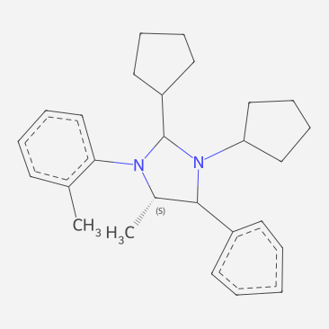 Cc1ccccc1N1C(C2CCCC2)N(C2CCCC2)C(c2ccccc2)[C@@H]1C